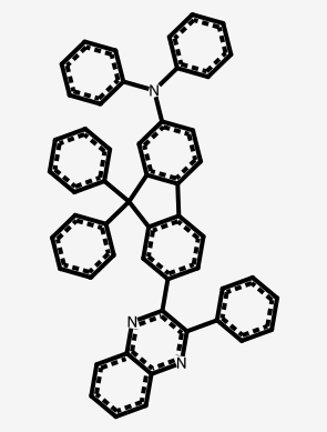 c1ccc(-c2nc3ccccc3nc2-c2ccc3c(c2)C(c2ccccc2)(c2ccccc2)c2cc(N(c4ccccc4)c4ccccc4)ccc2-3)cc1